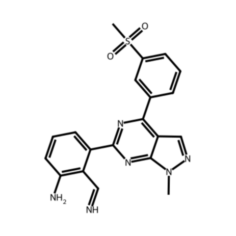 Cn1ncc2c(-c3cccc(S(C)(=O)=O)c3)nc(-c3cccc(N)c3C=N)nc21